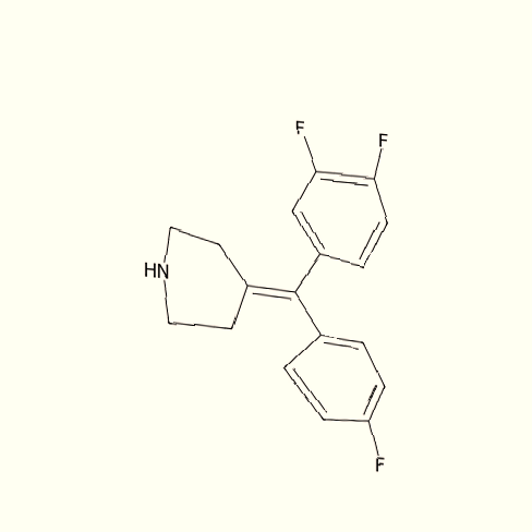 Fc1ccc(C(=C2CCNCC2)c2ccc(F)c(F)c2)cc1